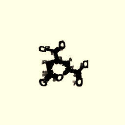 O=C(Cl)c1cc(C(=O)Cl)oc(=O)c1